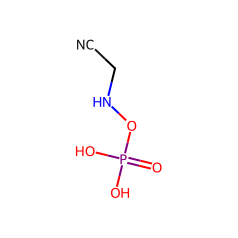 N#CCNOP(=O)(O)O